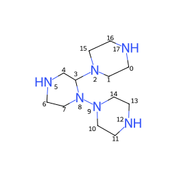 C1CN(C2CNCCN2N2CCNCC2)CCN1